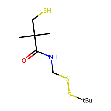 CC(C)(C)SSCNC(=O)C(C)(C)CS